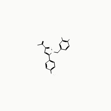 COc1ccc(-c2cc(C(=O)Cl)nn2Cc2ccc(C)c(Cl)c2)cc1